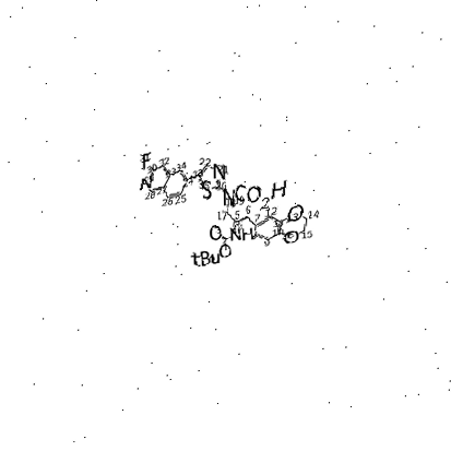 CC(C)(C)OC(=O)N[C@H](Cc1ccc2c(c1)OCCO2)CN(C(=O)O)c1ncc(-c2ccc3cnc(F)cc3c2)s1